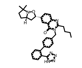 CCCCc1nc2ccc([C@@H]3C[C@@H]4CCC(C)(C)N4O3)cc2c(=O)n1Cc1ccc(-c2ccccc2-c2nnn[nH]2)cc1